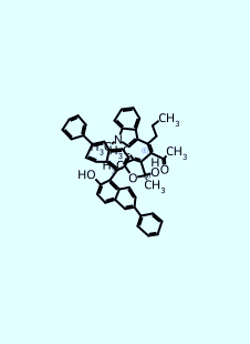 CCC/C(=C(\C(C)=O)C(=C(C)C)[C@@](C)(O)Oc1ccc2cc(-c3ccccc3)ccc2c1-c1c(O)ccc2cc(-c3ccccc3)ccc12)c1cn(C)c2ccccc12